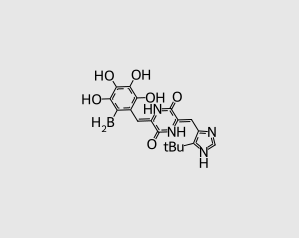 Bc1c(O)c(O)c(O)c(O)c1/C=c1\[nH]c(=O)/c(=C/c2nc[nH]c2C(C)(C)C)[nH]c1=O